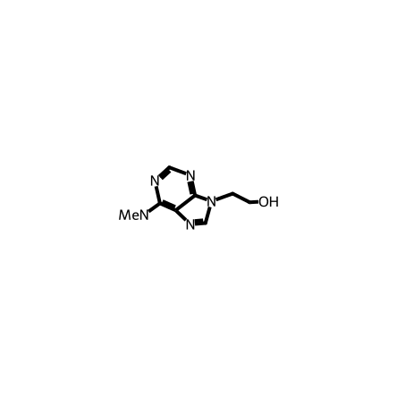 CNc1ncnc2c1ncn2CCO